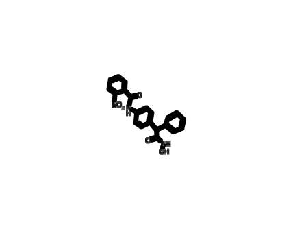 O=C(Nc1ccc(C(C(=O)NO)c2ccccc2)cc1)c1ccccc1[N+](=O)[O-]